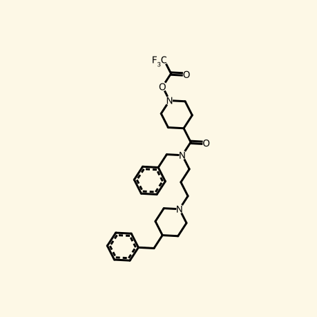 O=C(C1CCN(OC(=O)C(F)(F)F)CC1)N(CCCN1CCC(Cc2ccccc2)CC1)Cc1ccccc1